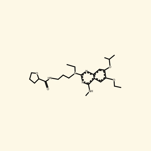 CCOc1cc2c(NC)nc(N(CC)CCCNC(=O)C3CCCO3)nc2cc1OC(C)C